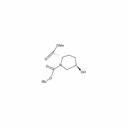 COC(=O)[C@@H]1CC[C@@H](O)CN1C(=O)OC(C)(C)C